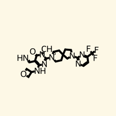 Cn1c(N2CCC3(CCN(c4nccc(C(F)(F)F)n4)C3)CC2)nc(NC2COC2)c(C=N)c1=O